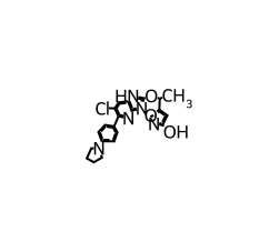 CC(Oc1nc2nc(-c3ccc(N4CCCC4)cc3)c(Cl)cc2[nH]1)c1cc(O)no1